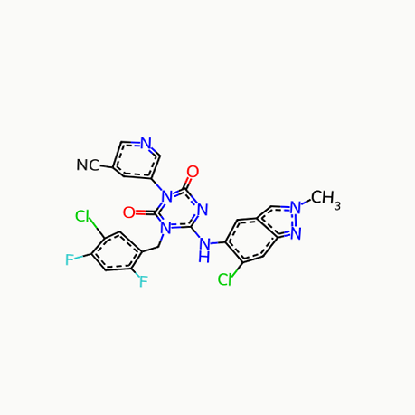 Cn1cc2cc(Nc3nc(=O)n(-c4cncc(C#N)c4)c(=O)n3Cc3cc(Cl)c(F)cc3F)c(Cl)cc2n1